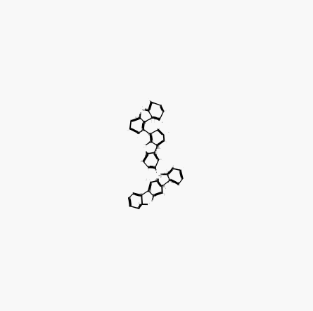 c1ccc2c(c1)sc1cc3c4ccccc4n(-c4ccc5sc6c(-c7cccc8sc9ccccc9c78)cccc6c5c4)c3cc12